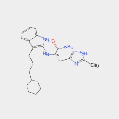 NC(=O)[C@H](Cc1c[nH]c(C=O)n1)Nc1[nH]c2ccccc2c1CCCC1CCCCC1